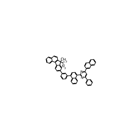 CC1(C)c2cc(-c3cccc(-c4ccc(-c5nc(-c6ccccc6)cc(-c6ccc7ccccc7c6)n5)c5ccccc45)c3)ccc2-c2c1ccc1ccccc21